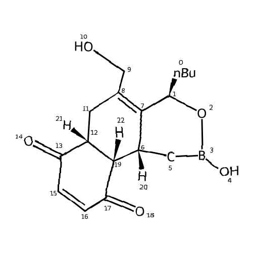 CCCC[C@H]1OB(O)C[C@H]2C1=C(CO)C[C@H]1C(=O)C=CC(=O)[C@H]12